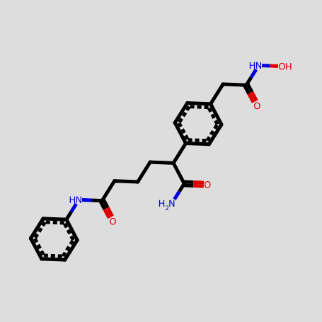 NC(=O)C(CCCC(=O)Nc1ccccc1)c1ccc(CC(=O)NO)cc1